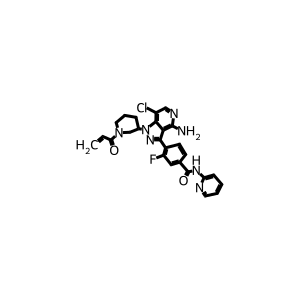 C=CC(=O)N1CCCC(n2nc(-c3ccc(C(=O)Nc4ccccn4)cc3F)c3c(N)ncc(Cl)c32)C1